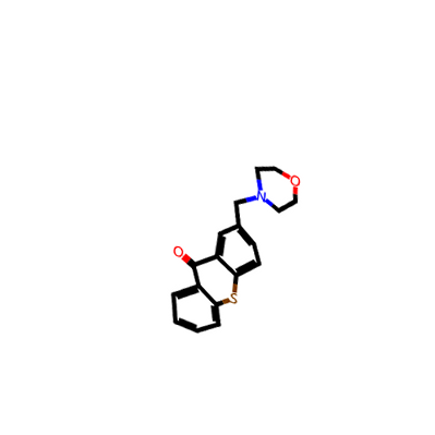 O=c1c2ccccc2sc2ccc(CN3CCOCC3)cc12